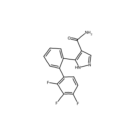 NC(=O)c1cn[nH]c1-c1ccccc1-c1ccc(F)c(F)c1F